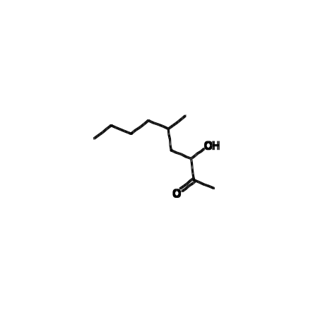 CCCCC(C)CC(O)C(C)=O